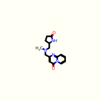 CN(Cc1cc(=O)n2ccccc2n1)CC1CCC(=O)N1